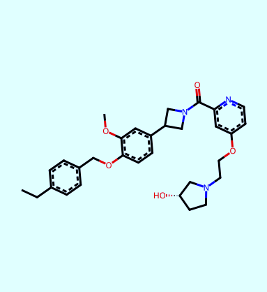 CCc1ccc(COc2ccc(C3CN(C(=O)c4cc(OCCN5CC[C@H](O)C5)ccn4)C3)cc2OC)cc1